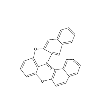 S=P12c3cc4ccccc4cc3Oc3cccc(c31)Oc1ccc3ccccc3c12